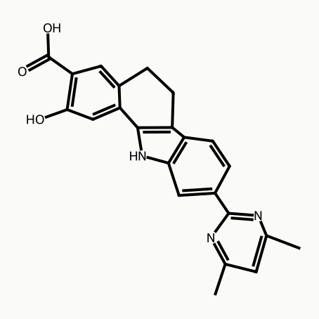 Cc1cc(C)nc(-c2ccc3c4c([nH]c3c2)-c2cc(O)c(C(=O)O)cc2CC4)n1